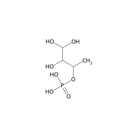 CC(OP(=O)(O)O)C(O)C(O)O